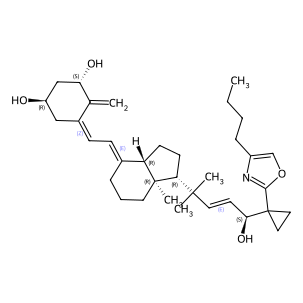 C=C1/C(=C\C=C2/CCC[C@]3(C)[C@@H](C(C)(C)/C=C/[C@H](O)C4(c5nc(CCCC)co5)CC4)CC[C@@H]23)C[C@@H](O)C[C@@H]1O